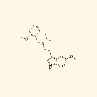 COc1ccc2[nH]cc(CCN(Cc3ccccc3OC)C(C)C)c2c1